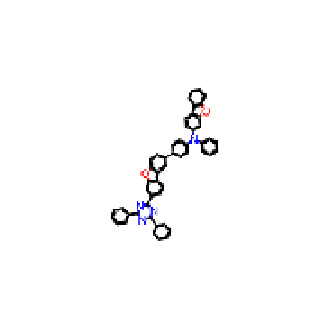 c1ccc(-c2nc(-c3ccccc3)nc(-c3ccc4c(c3)oc3ccc(-c5ccc(N(c6ccccc6)c6ccc7c(c6)oc6ccccc67)cc5)cc34)n2)cc1